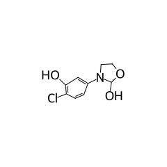 Oc1cc(N2CCOC2O)ccc1Cl